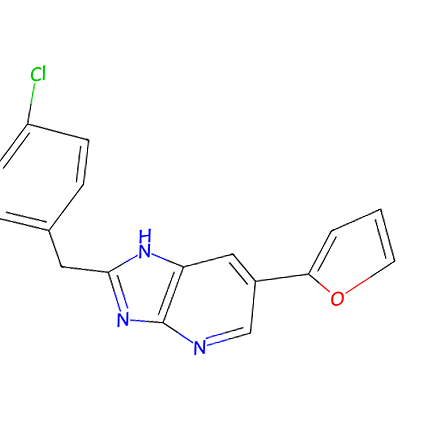 Clc1ccc(Cc2nc3ncc(-c4ccco4)cc3[nH]2)cc1